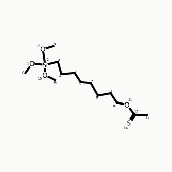 CO[Si](CCCCCCCCOC(C)=S)(OC)OC